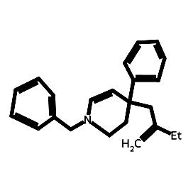 C=C(CC)CC1(c2ccccc2)C=CN(Cc2ccccc2)CC1